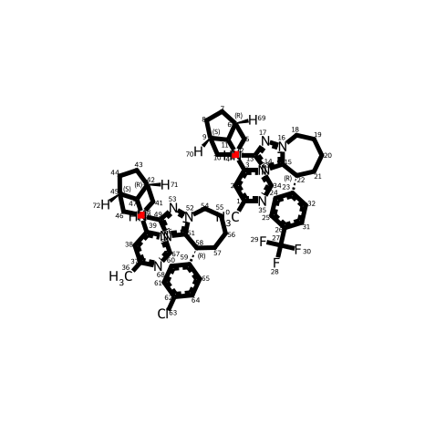 Cc1cc(N2C[C@H]3CC[C@@H](C2)C3Nc2nc3n(n2)CCCC[C@@H]3c2ccc(C(F)(F)F)cc2)ncn1.Cc1cc(N2C[C@H]3CC[C@@H](C2)C3Nc2nc3n(n2)CCCC[C@@H]3c2ccc(Cl)cc2)ncn1